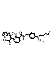 C/N=c1/c(C(=O)NCc2ccc(N(C)CCCC=O)cc2)cccn1/C(=C/[C@@H]1CCCN1)C(N)=O